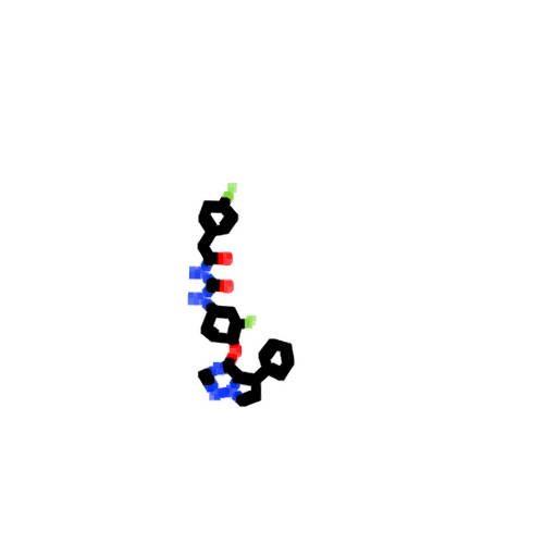 O=C(Cc1ccc(F)cc1)NC(=O)Nc1ccc(Oc2ncnn3ccc(-c4ccccc4)c23)c(F)c1